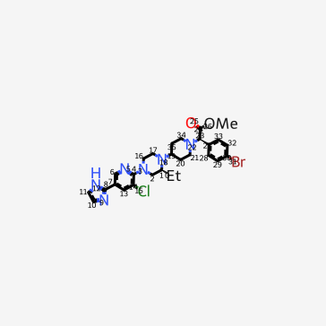 CC[C@H]1CN(c2ncc(-c3ncc[nH]3)cc2Cl)CCN1C1CCN([C@@H](C(=O)OC)c2ccc(Br)cc2)CC1